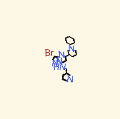 Brc1cnn2c(NCc3cccnc3)cc(C3CCCN(C4CCCCC4)C3)nc12